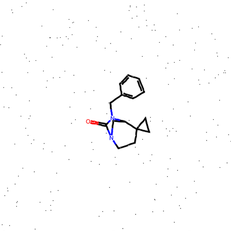 O=C1N2CCC3(CC3)C(C2)N1Cc1ccccc1